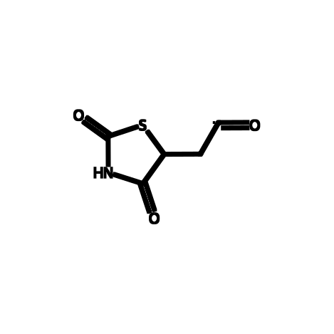 O=[C]CC1SC(=O)NC1=O